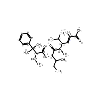 CCC(C)[C@H](NC(=O)[C@@H](NC)C(C)(C)c1ccccc1)C(=O)N(C)[C@H](/C=C(\C)C(=O)O)C(C)C